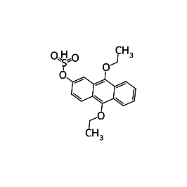 CCOc1c2ccccc2c(OCC)c2cc(O[SH](=O)=O)ccc12